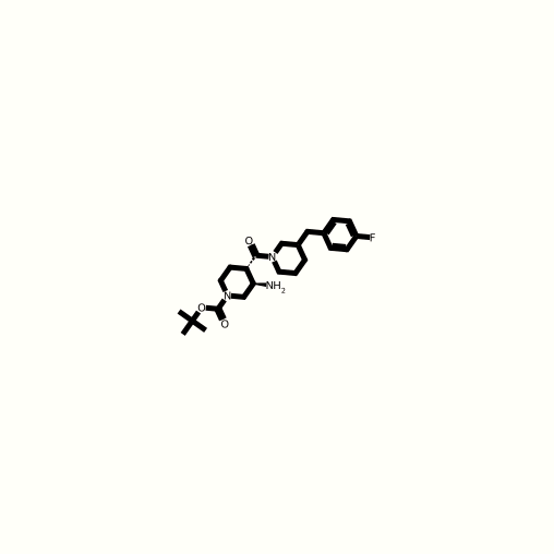 CC(C)(C)OC(=O)N1CC[C@H](C(=O)N2CCCC(Cc3ccc(F)cc3)C2)[C@@H](N)C1